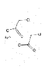 O=C([O-])CCl.O=C([O-])CCl.[Fe+2]